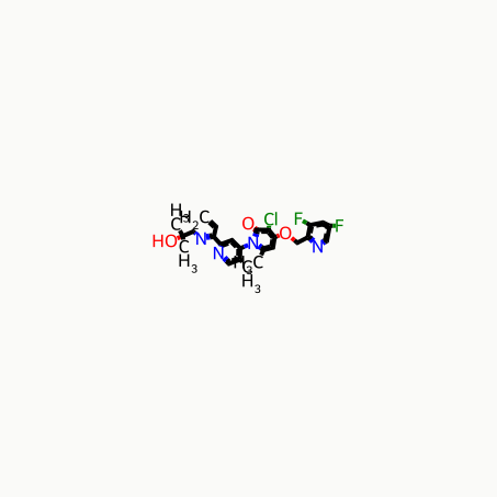 C=C/C(=N\CC(C)(C)O)c1cc(-n2c(C)cc(OCc3ncc(F)cc3F)c(Cl)c2=O)c(C)cn1